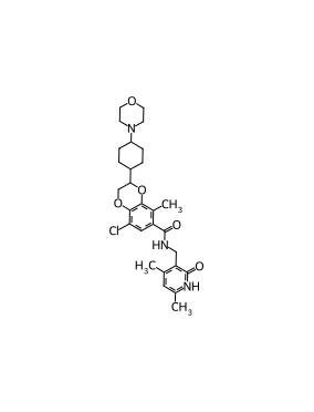 Cc1cc(C)c(CNC(=O)c2cc(Cl)c3c(c2C)OC(C2CCC(N4CCOCC4)CC2)CO3)c(=O)[nH]1